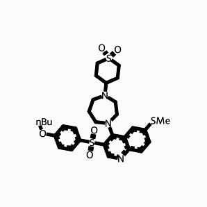 CCCCOc1ccc(S(=O)(=O)c2cnc3ccc(SC)cc3c2N2CCCN(C3CCS(=O)(=O)CC3)CC2)cc1